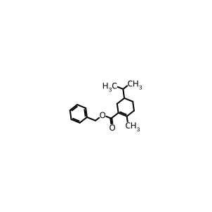 CC1=C(C(=O)OCc2ccccc2)CC(C(C)C)CC1